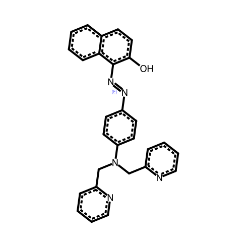 Oc1ccc2ccccc2c1/N=N/c1ccc(N(Cc2ccccn2)Cc2ccccn2)cc1